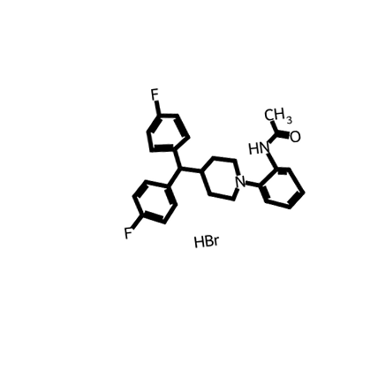 Br.CC(=O)Nc1ccccc1N1CCC(C(c2ccc(F)cc2)c2ccc(F)cc2)CC1